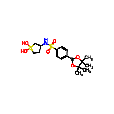 CC1(C)OB(c2ccc(S(=O)(=O)N[C@H]3CCS(O)(O)C3)cc2)OC1(C)C